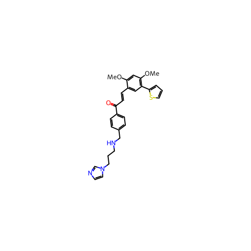 COc1cc(OC)c(-c2cccs2)cc1/C=C/C(=O)c1ccc(CNCCCn2ccnc2)cc1